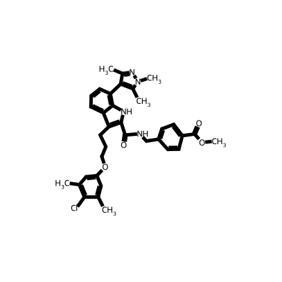 COC(=O)c1ccc(CNC(=O)c2[nH]c3c(-c4c(C)nn(C)c4C)cccc3c2CCCOc2cc(C)c(Cl)c(C)c2)cc1